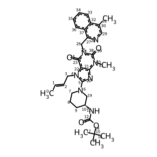 C/C=C/Cn1c(N2CCC[C@H](NC(=O)OC(C)(C)C)C2)nc2c1c(=O)n(Cc1ncc(C)c3ccccc13)c(=O)n2C